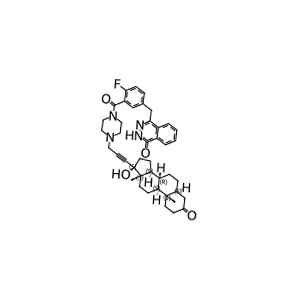 C[C@]12CCC(=O)C[C@@H]1CC[C@@H]1[C@@H]2CC[C@@]2(C)[C@H]1CC[C@@]2(O)C#CCN1CCN(C(=O)c2cc(Cc3n[nH]c(=O)c4ccccc34)ccc2F)CC1